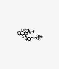 Nc1c(S(=O)(=O)O)cc(Nc2cccc(CCCOS(=O)(=O)O)c2)c2c1C(=O)c1ccccc1C2=O